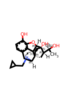 CC(C)(C)[C@@](C)(O)[C@H]1C[C@@]23C=C[C@@]1(O)[C@@H]1Oc4c(O)ccc5c4[C@@]12CCN(CC1CC1)[C@@H]3C5